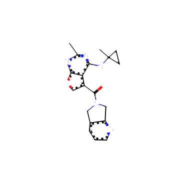 Cc1nc(NC2(C)CC2)c2c(C(=O)N3Cc4cccnc4C3)coc2n1